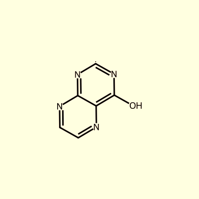 Oc1n[c]nc2nccnc12